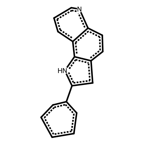 c1ccc(-c2cc3ccc4ncccc4c3[nH]2)cc1